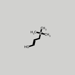 C[N+](C)(C)CC=CO